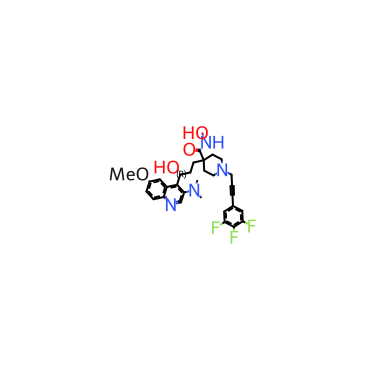 COc1ccc2ncc(N(C)C)c([C@H](O)CCC3(C(=O)NO)CCN(CC#Cc4cc(F)c(F)c(F)c4)CC3)c2c1